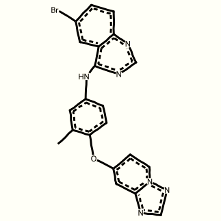 Cc1cc(Nc2ncnc3ccc(Br)cc23)ccc1Oc1ccn2ncnc2c1